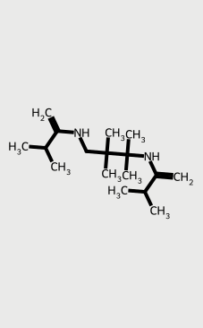 C=C(NCC(C)(C)C(C)(C)NC(=C)C(C)C)C(C)C